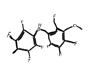 COc1c(F)c(F)c(F)c(Bc2c(F)c(F)c(C)c(F)c2F)c1F